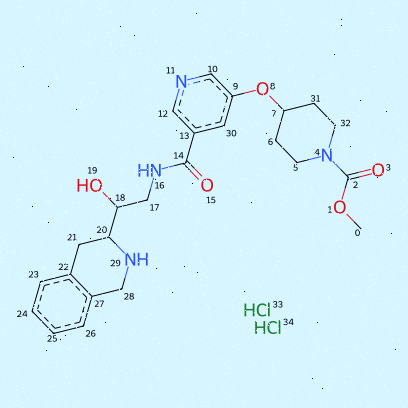 COC(=O)N1CCC(Oc2cncc(C(=O)NCC(O)C3Cc4ccccc4CN3)c2)CC1.Cl.Cl